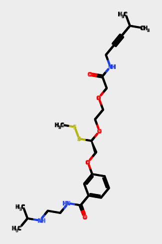 CSS[C@H](COc1cccc(C(=O)NCCNC(C)C)c1)OCCOCC(=O)NCC#CC(C)C